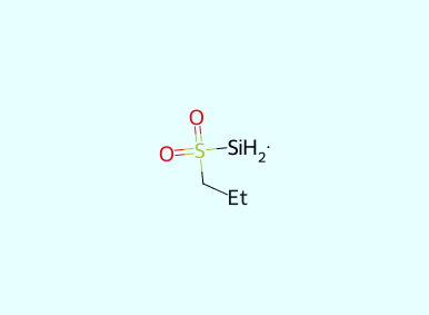 CCCS(=O)(=O)[SiH2]